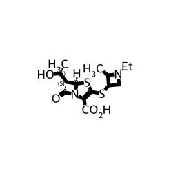 CCN1CC(SC2=C(C(=O)O)N3C(=O)[C@H]([C@@H](C)O)[C@H]3S2)C1C